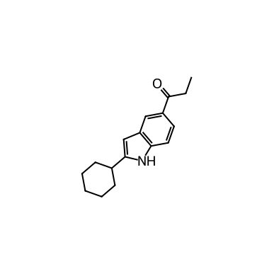 CCC(=O)c1ccc2[nH]c(C3CCCCC3)cc2c1